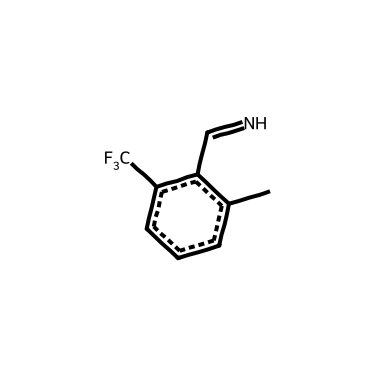 Cc1cccc(C(F)(F)F)c1C=N